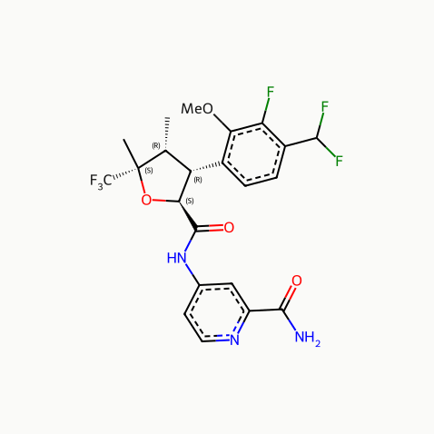 COc1c([C@@H]2[C@@H](C(=O)Nc3ccnc(C(N)=O)c3)O[C@](C)(C(F)(F)F)[C@@H]2C)ccc(C(F)F)c1F